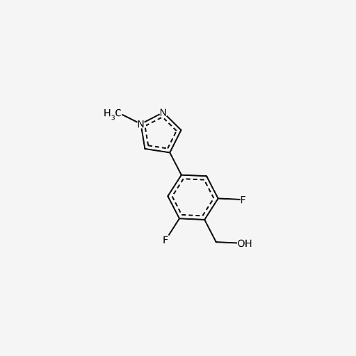 Cn1cc(-c2cc(F)c(CO)c(F)c2)cn1